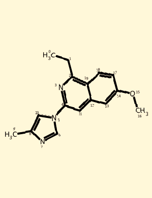 CCc1nc(-n2cnc(C)c2)cc2cc(OC)ccc12